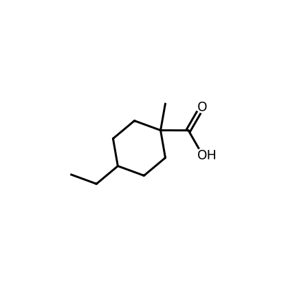 CCC1CCC(C)(C(=O)O)CC1